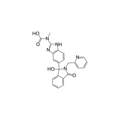 CN(C(=O)O)c1nc2cc(C3(O)c4ccccc4C(=O)N3Cc3ccccn3)ccc2[nH]1